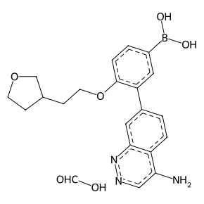 Nc1cnnc2cc(-c3cc(B(O)O)ccc3OCCC3CCOC3)ccc12.O=CO